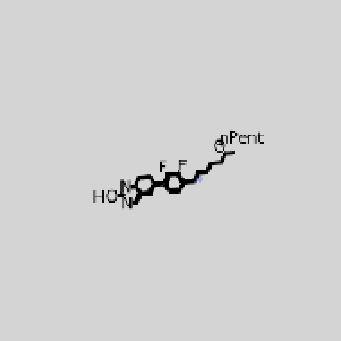 CCCCCOC(C)CCC/C=C/c1ccc(-c2ccc3nc(O)ncc3c2)c(F)c1F